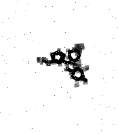 C[C@@H]1CN(C[C@H](c2cccc(OC(F)(F)F)c2)C2(O)CCCCC2)C[C@H](C)N1C.Cl.Cl